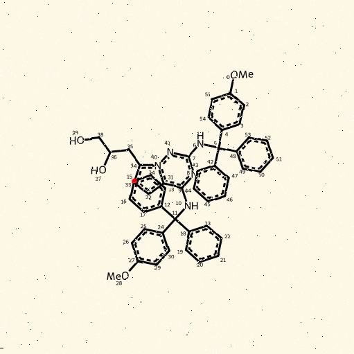 COc1ccc(C(Nc2nc(NC(c3ccccc3)(c3ccccc3)c3ccc(OC)cc3)c3ccc(CC(O)CO)n3n2)(c2ccccc2)c2ccccc2)cc1